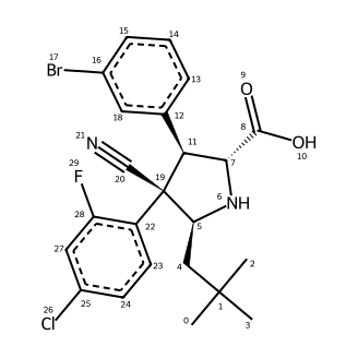 CC(C)(C)C[C@@H]1N[C@@H](C(=O)O)[C@H](c2cccc(Br)c2)[C@@]1(C#N)c1ccc(Cl)cc1F